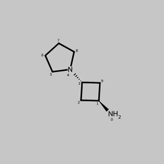 N[C@H]1C[C@H](N2CCCC2)C1